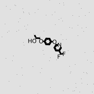 CC(O)COc1ccc(Oc2ccc(C(F)F)cn2)cc1